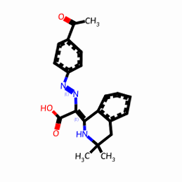 CC(=O)c1ccc(/N=N/C(C(=O)O)=C2/NC(C)(C)Cc3ccccc32)cc1